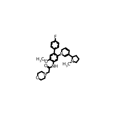 COc1cc(-c2ccc(F)cc2)c(N2C=C(C3CCCN3C)C=CC2)cc1NC(=O)CN1CCOCC1